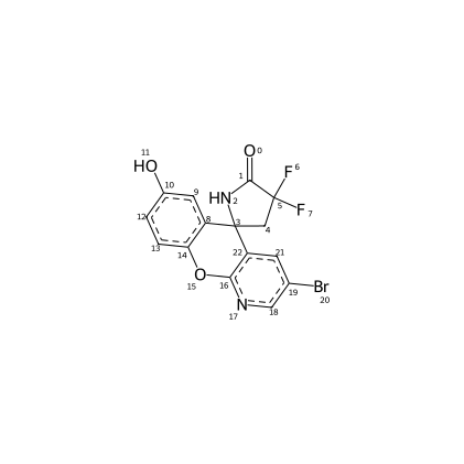 O=C1NC2(CC1(F)F)c1cc(O)ccc1Oc1ncc(Br)cc12